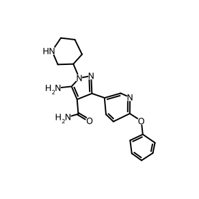 NC(=O)c1c(-c2ccc(Oc3ccccc3)nc2)nn(C2CCCNC2)c1N